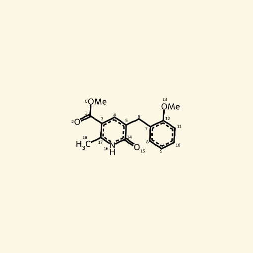 COC(=O)c1cc(Cc2ccccc2OC)c(=O)[nH]c1C